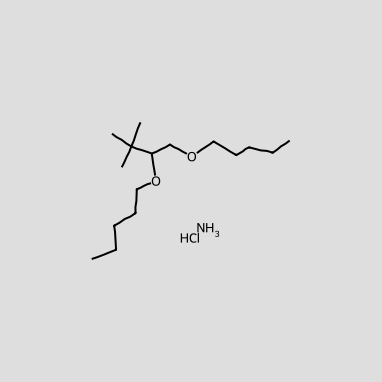 CCCCCOCC(OCCCCC)C(C)(C)C.Cl.N